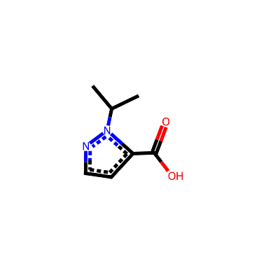 CC(C)n1nccc1C(=O)O